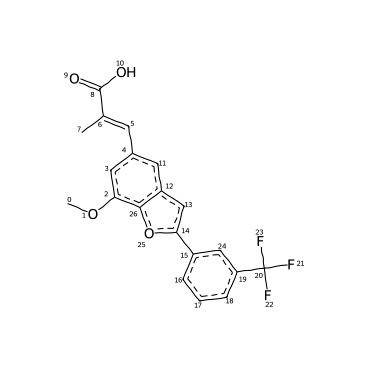 COc1cc(/C=C(\C)C(=O)O)cc2cc(-c3cccc(C(F)(F)F)c3)oc12